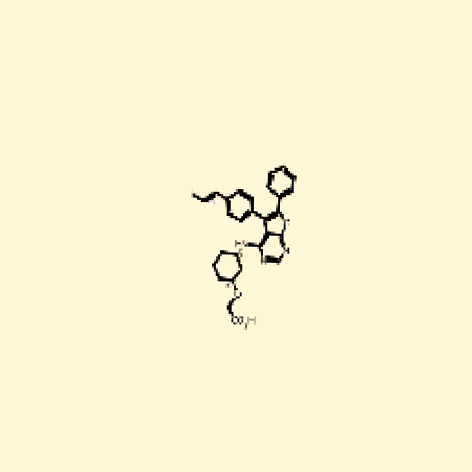 O=C(O)CO[C@H]1CCC[C@H](Nc2ncnc3oc(-c4ccccc4)c(-c4ccc(/C=C/I)cc4)c23)C1